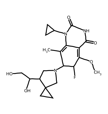 COC1=c2c(=O)[nH]c(=O)n(C3CC3)c2=C(C)C(N2CC(C(O)CO)C3(CC3)C2)C1F